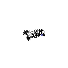 CO/N=C(/C(=O)NC1C(=O)N2C(C(=O)O)=C(CSc3nnnn3CCS(N)(=O)=O)CS[C@H]12)c1ccco1